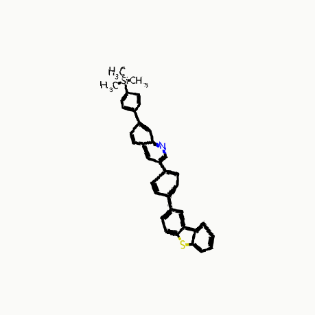 C[Si](C)(C)c1ccc(-c2ccc3cc(-c4ccc(-c5ccc6sc7ccccc7c6c5)cc4)cnc3c2)cc1